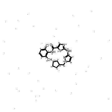 Cc1cccc(Cl)c1NC(=O)c1cnc(Nc2ccn(CC3CCCC3)n2)s1